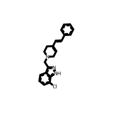 Clc1cccc2c(CN3CC=C(C=Cc4ccccc4)CC3)n[nH]c12